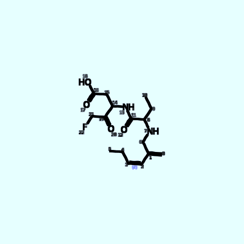 C=C(/C=C\CC)CNC(CC)C(=O)NC(CC(=O)O)C(=O)CF